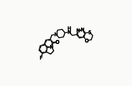 O=c1c(CN2CCC(NCc3cc4c(nn3)SCCO4)CC2)cc2ccc(F)c3c2n1CC3